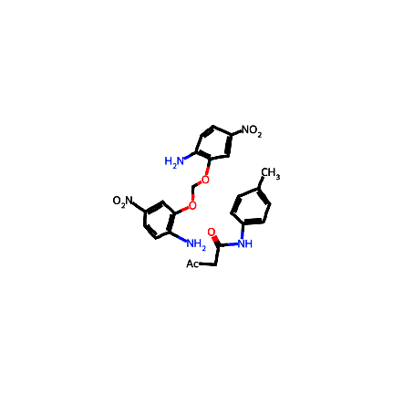 CC(=O)CC(=O)Nc1ccc(C)cc1.Nc1ccc([N+](=O)[O-])cc1OCOc1cc([N+](=O)[O-])ccc1N